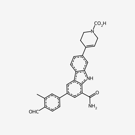 Cc1cc(-c2cc(C(N)=O)c3[nH]c4cc(C5=CCN(C(=O)O)CC5)ccc4c3c2)ccc1C=O